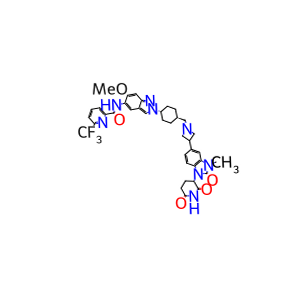 COc1cc2nn([C@H]3CC[C@H](CN4CC(c5ccc6c(c5)n(C)c(=O)n6C5CCC(=O)NC5=O)C4)CC3)cc2cc1NC(=O)c1cccc(C(F)(F)F)n1